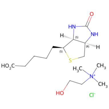 C[N+](C)(C)CCO.O=C(O)CCCC[C@@H]1SC[C@@H]2NC(=O)N[C@@H]21.[Cl-]